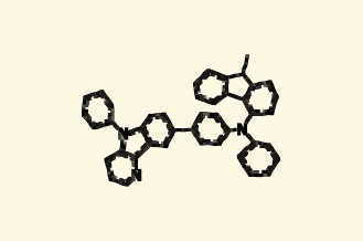 CC1c2ccccc2-c2c1cccc2N(c1ccccc1)c1ccc(-c2ccc3c(c2)c2ncccc2n3-c2ccccc2)cc1